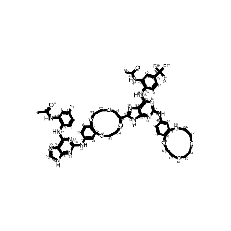 CC(=O)Nc1cc(F)ccc1Nc1nc(Nc2ccc3c(c2)OCCOC(c2nc4c(Nc5ccc(C(F)(F)F)cc5NC(C)=O)nc(Nc5ccc6c(c5)OCCOCCOCCO6)nc4[nH]2)COCCO3)nc2[nH]cnc12